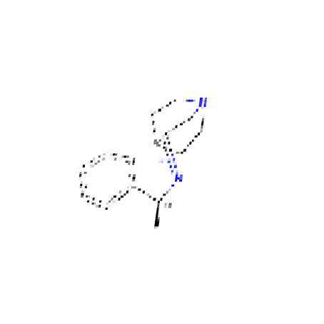 C[C@H](/N=C1/CN2CCC1CC2)c1ccccc1